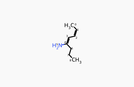 C/C=C\C=C(\N)CCC